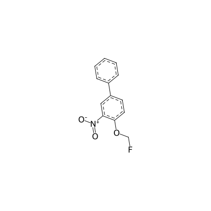 O=[N+]([O-])c1cc(-c2ccccc2)ccc1OCF